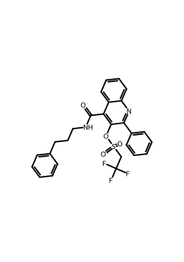 O=C(NCCCc1ccccc1)c1c(OS(=O)(=O)CC(F)(F)F)c(-c2ccccc2)nc2ccccc12